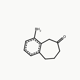 Bc1cccc2c1CC(=O)CCC2